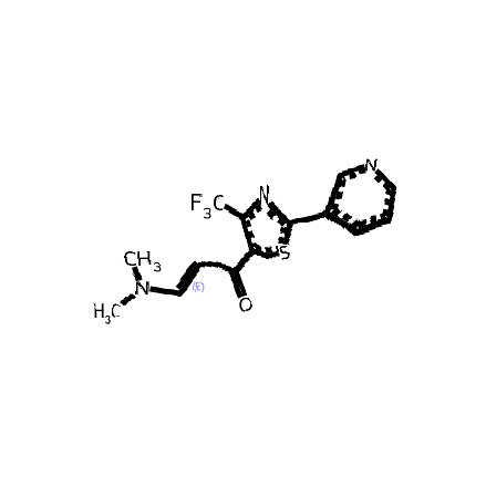 CN(C)/C=C/C(=O)c1sc(-c2cccnc2)nc1C(F)(F)F